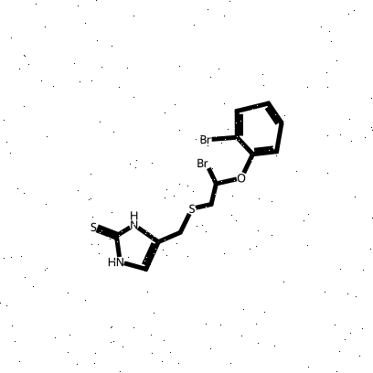 S=c1[nH]cc(CSCC(Br)Oc2ccccc2Br)[nH]1